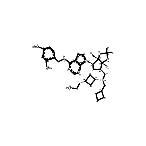 COc1ccc(CNc2ncnc3c2ccn3[C@@H]2C[C@H](CN(CC3CCC3)[C@H]3C[C@@H](CCC(=O)O)C3)[C@H]3OC(C)(C)O[C@H]32)c(OC)c1